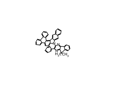 CC1(C)c2ccccc2-c2nc(-n3c4cc5ccccc5cc4c4c5c6ccccc6c6ccccc6c5ccc43)c(-c3ccccc3)nc21